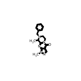 CC1c2nc3c(cnn3C)c(=O)n2CCN1Cc1ccccc1